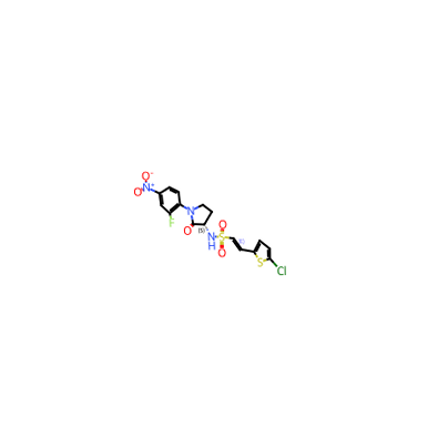 O=C1[C@@H](NS(=O)(=O)/C=C/c2ccc(Cl)s2)CCN1c1ccc([N+](=O)[O-])cc1F